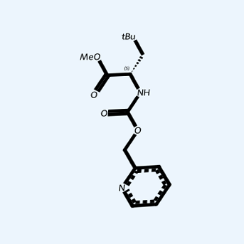 COC(=O)[C@H](CC(C)(C)C)NC(=O)OCc1ccccn1